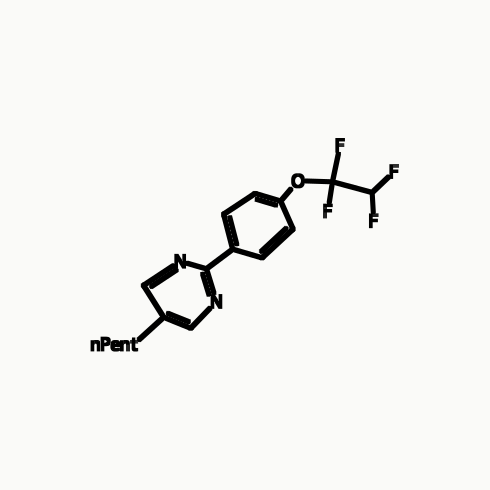 CCCCCc1cnc(-c2ccc(OC(F)(F)C(F)F)cc2)nc1